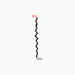 CC(=O)OCCCCCCCCCCCCC=CCCO